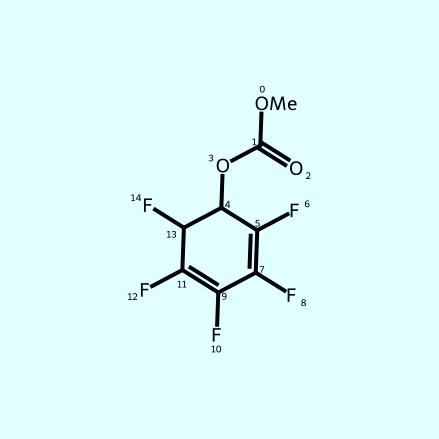 COC(=O)OC1C(F)=C(F)C(F)=C(F)C1F